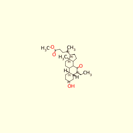 CC[C@@H]1C(=O)C2C(CC[C@@]3(C)C2CC[C@@H]3[C@H](C)CCC(=O)OC)[C@H]2CC[C@@H](O)C[C@@H]12